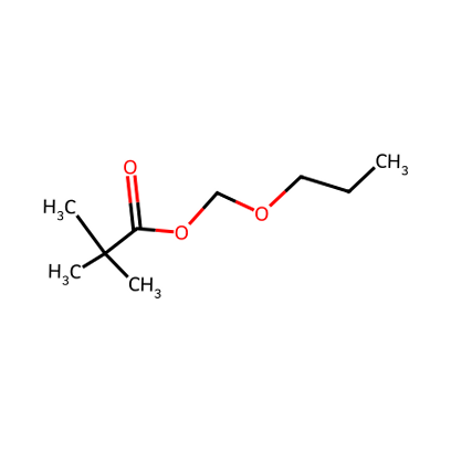 CCCOCOC(=O)C(C)(C)C